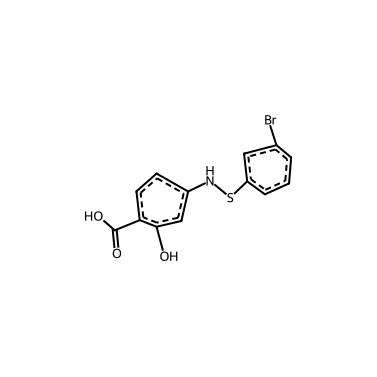 O=C(O)c1ccc(NSc2cccc(Br)c2)cc1O